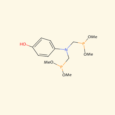 COP(CN(CP(OC)OC)c1ccc(O)cc1)OC